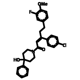 COc1ccc(CC/C(=C/C(=O)N2CCC(O)(c3ccccc3)CC2)c2ccc(Cl)cc2)cc1F